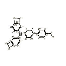 CCc1ccc(-c2ccc(N(c3ccc4c(c3)CC4)c3ccc4c(c3)CC4)cc2)cc1